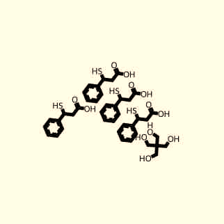 O=C(O)CC(S)c1ccccc1.O=C(O)CC(S)c1ccccc1.O=C(O)CC(S)c1ccccc1.O=C(O)CC(S)c1ccccc1.OCC(CO)(CO)CO